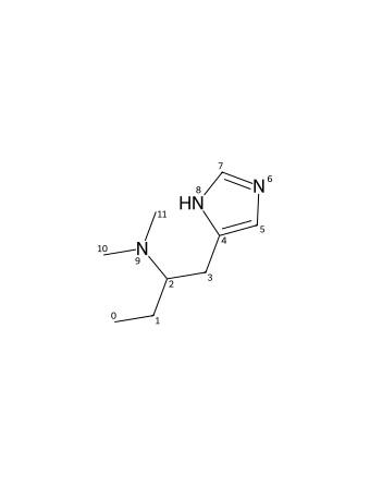 CCC(Cc1cnc[nH]1)N(C)C